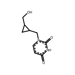 O=c1ccn(CC2CC2CO)c(=O)[nH]1